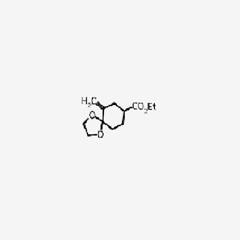 C=C1CC(C(=O)OCC)CCC12OCCO2